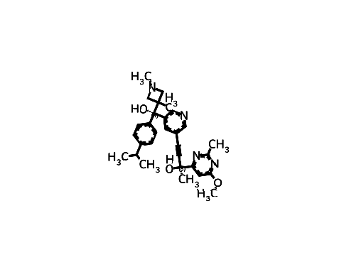 COc1cc([C@@](C)(O)C#Cc2cncc([C@@](O)(c3ccc(C(C)C)cc3)C3(C)CN(C)C3)c2)nc(C)n1